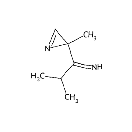 CC(C)C(=N)C1(C)C=N1